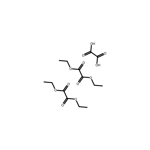 CCOC(=O)C(=O)OCC.CCOC(=O)C(=O)OCC.O=C(O)C(=O)O